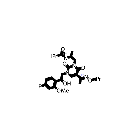 COc1cc(F)ccc1C(O)Cn1cc(/C(C)=N/OC(C)C)c(=O)n(CC(C)NC(=O)C(C)C)c1=O